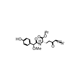 CO[C@H](C(=O)N[C@@H](CCC(=O)C=[N+]=[N-])C(=O)OC(C)C)c1ccc(O)cc1